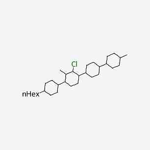 CCCCCCC1CCC(C2CCC(C3CCC(C4CCC(C)CC4)CC3)C(Cl)C2C)CC1